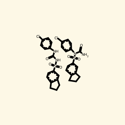 NC(=O)N(c1ccc(Cl)cc1)S(=O)(=O)c1ccc2c(c1)CCC2.O=C(Nc1ccc(Cl)cc1)NS(=O)(=O)c1ccc2c(c1)CCC2